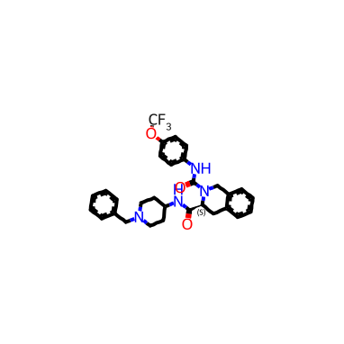 O=C(NC1CCN(Cc2ccccc2)CC1)[C@@H]1Cc2ccccc2CN1C(=O)Nc1ccc(OC(F)(F)F)cc1